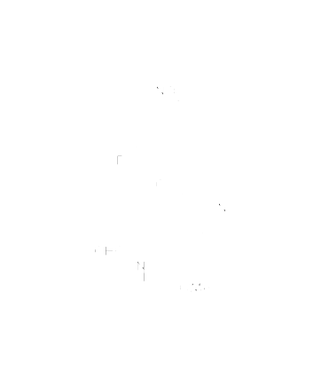 COc1cc2nccc(Oc3ccc([N+](=O)[O-])cc3F)c2cc1NC=O